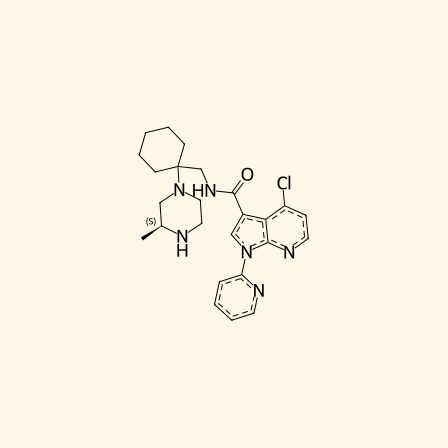 C[C@H]1CN(C2(CNC(=O)c3cn(-c4ccccn4)c4nccc(Cl)c34)CCCCC2)CCN1